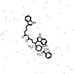 CC(C)(c1ccccc1)[C@@H]1CC[C@@](C)(C(CCC(=O)OC(=O)CCCc2c[nH]c3ccccc23)c2c[nH]c3ccccc23)C[C@H]1O